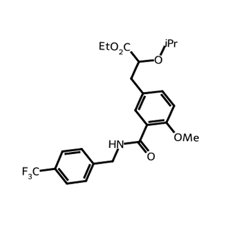 CCOC(=O)C(Cc1ccc(OC)c(C(=O)NCc2ccc(C(F)(F)F)cc2)c1)OC(C)C